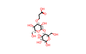 O=C(O)CCO[C@@H]1[C@@H](O)[C@@H](O[C@H]2[C@H](O)[C@@H](O)[C@H](O)O[C@@H]2CO)O[C@H](CO)[C@H]1O